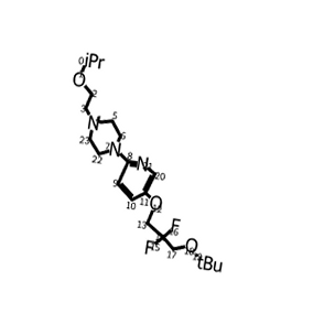 CC(C)OCCN1CCN(c2ccc(OCC(F)(F)COC(C)(C)C)cn2)CC1